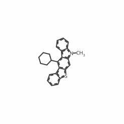 Cn1c2ccccc2c2c(C3CCCCC3)c3c(cc21)sc1ccccc13